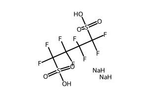 O=S(=O)(O)C(F)(F)C(F)(F)C(F)(F)C(F)(F)S(=O)(=O)O.[NaH].[NaH]